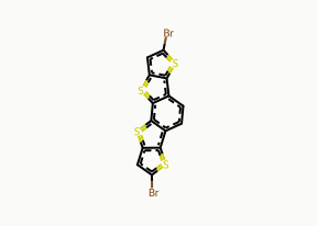 Brc1cc2sc3c(ccc4c5sc(Br)cc5sc43)c2s1